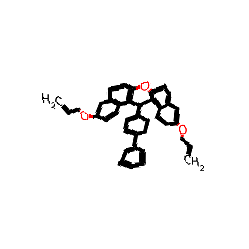 C=CCOc1ccc2c3c(ccc2c1)Oc1ccc2c(c1C3C1=CC=C(c3ccccc3)CC1)C=CC(OCC=C)C2